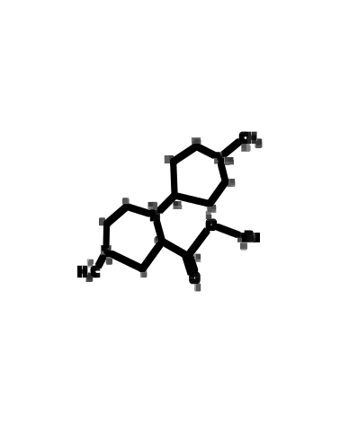 CCCCOC(=O)C1CN(C)CCN1C1CCN(C)CC1